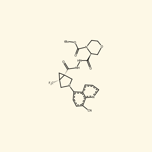 CC(C)(C)OC(=O)N1CCOC[C@H]1C(=O)NNC(=O)[C@]12CN(c3ccc(C#N)c4ncccc34)C[C@@]1(C(F)(F)F)C2